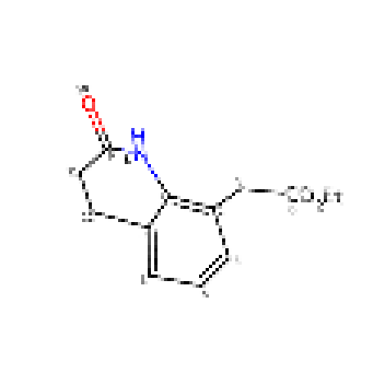 CCOC(=O)Cc1cccc2c1NC(=O)CC2